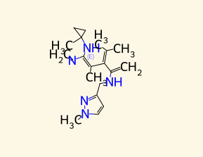 C=N/C(NC1(C)CC1)=C(\C)C(C(=C)NCc1ccn(C)n1)=C(C)C